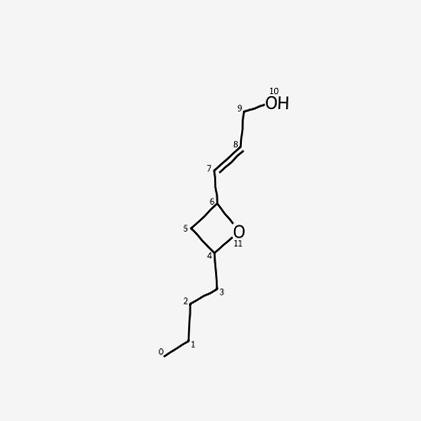 CCCCC1CC(C=CCO)O1